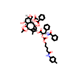 CC(=O)O[C@H]1C(=O)[C@@]2(C)[C@H]([C@H](OC(=O)c3ccccc3)[C@]3(O)C[C@H](OC(=O)[C@H](OC(=O)OCCCCC(=O)Nc4ccc(C)cc4)[C@@H](NC(=O)c4ccccc4)c4ccccc4)C(C)=C1C3(C)C)[C@]1(OC(C)=O)CO[C@@H]1C[C@@H]2O